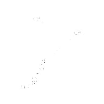 CCCCCCCCCCCCCCCCN(CCCCCCCCCCCCCCCC)c1ccc(/C=C/c2cc[n+](CC)cc2)cc1